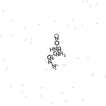 CCN(CC)CCN(C)c1cccc(C(/C=C(\C=O)NC(=O)c2ccc(N3CCCCC3)cc2)=C/N)n1